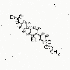 C=CC(=O)Oc1ccc(-c2ccc(-c3ccc(OC(=O)CC)cc3)cc2CC)cc1